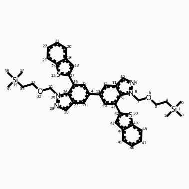 C[Si](C)(C)CCOCn1ncc2cc(-c3cc(-c4cc5ccccc5s4)c4c(cnn4COCC[Si](C)(C)C)c3)cc(-c3cc4ccccc4s3)c21